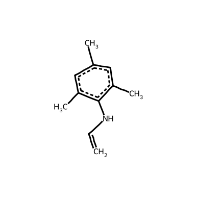 C=CNc1c(C)cc(C)cc1C